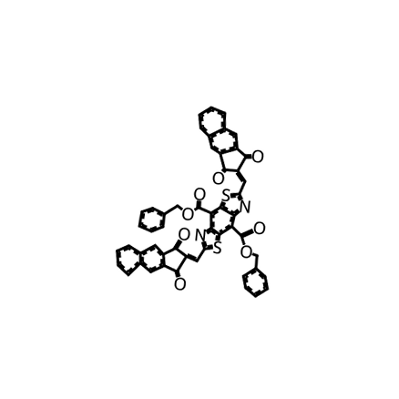 O=C1C(=Cc2nc3c(C(=O)OCc4ccccc4)c4sc(C=C5C(=O)c6cc7ccccc7cc6C5=O)nc4c(C(=O)OCc4ccccc4)c3s2)C(=O)c2cc3ccccc3cc21